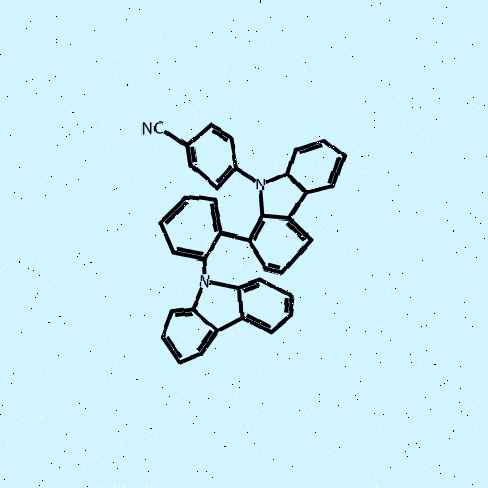 N#Cc1ccc(N2c3c(-c4ccccc4-n4c5ccccc5c5ccccc54)cccc3C3C=CC=CC32)cc1